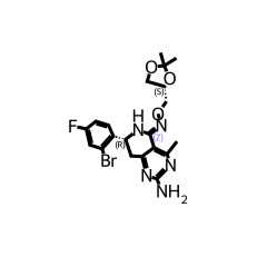 Cc1nc(N)nc2c1/C(=N/OC[C@@H]1COC(C)(C)O1)N[C@@H](c1ccc(F)cc1Br)C2